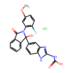 COc1ccc(F)c(N2C(=O)c3ccccc3C2(O)c2ccc3[nH]c(NC(=O)O)nc3c2)c1.Cl